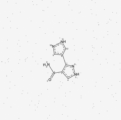 NC(=O)c1c[nH]nc1-c1cn[nH]c1